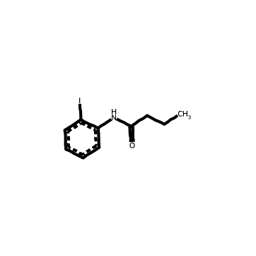 CCCC(=O)Nc1ccccc1I